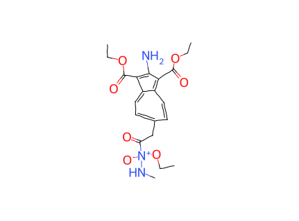 CCOC(=O)c1c2ccc(CC(=O)[N+]([O-])(NC)OCC)ccc-2c(C(=O)OCC)c1N